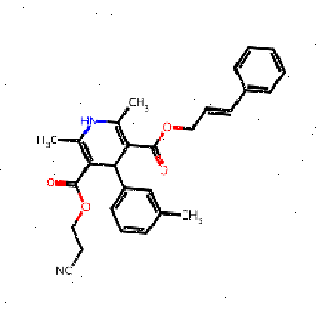 CC1=C(C(=O)OCC=Cc2ccccc2)C(c2cccc(C)c2)C(C(=O)OCCC#N)=C(C)N1